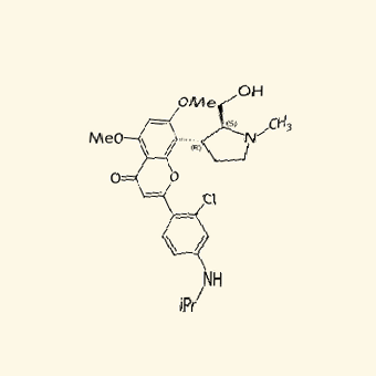 COc1cc(OC)c2c(=O)cc(-c3ccc(NC(C)C)cc3Cl)oc2c1[C@H]1CCN(C)[C@@H]1CO